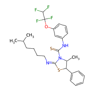 CC(C)CCCCN=C1SC(c2ccccc2)C(C)N1C(=S)Nc1cccc(OC(F)(F)C(F)F)c1